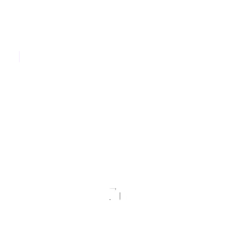 Cc1cccc(CCI)c1.[Zn]